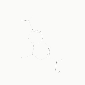 COC(=O)c1cc(C(C)=O)c2nc(C(F)F)cn2c1